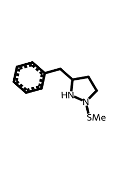 CSN1CCC(Cc2ccccc2)N1